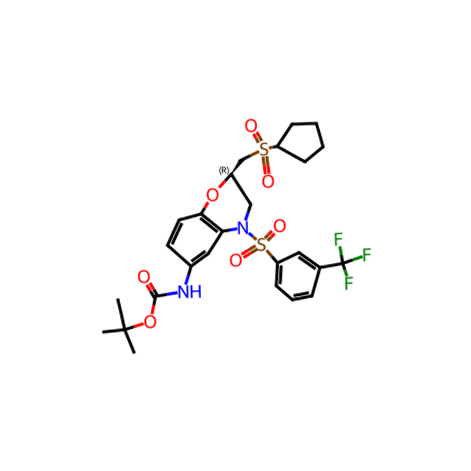 CC(C)(C)OC(=O)Nc1ccc2c(c1)N(S(=O)(=O)c1cccc(C(F)(F)F)c1)C[C@H](CS(=O)(=O)C1CCCC1)O2